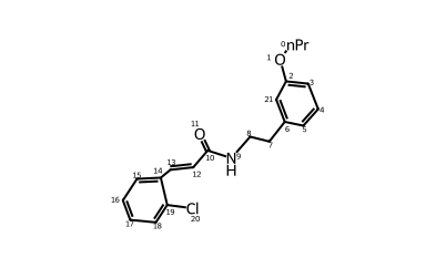 CCCOc1cccc(CCNC(=O)C=Cc2ccccc2Cl)c1